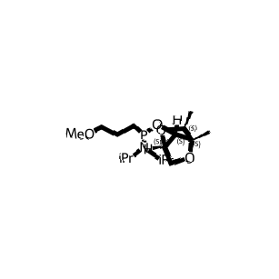 COCCCP(O[C@H]1[C@@H]2CO[C@@]1(C)[C@H](C)O2)N(C(C)C)C(C)C